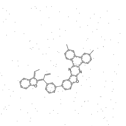 C=C/C(c1cccc(-c2ccc3oc4nc5c6ccc(C)cc6c6cc(C)ccc6c5nc4c3c2)c1)=c1/oc2ccccc2/c1=C/C